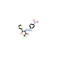 O=C(/C(=N/Nc1ccc([N+](=O)[O-])cc1)C(=O)C(F)(F)F)c1cccs1